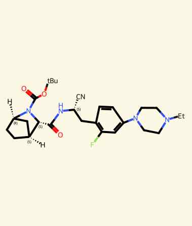 CCN1CCN(c2ccc(C[C@@H](C#N)NC(=O)[C@@H]3[C@H]4CC[C@H](C4)N3C(=O)OC(C)(C)C)c(F)c2)CC1